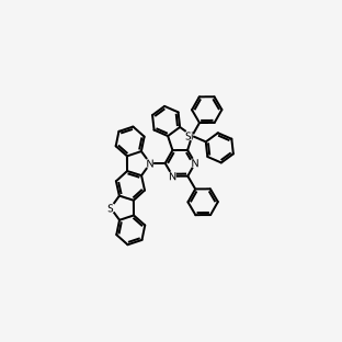 c1ccc(-c2nc(-n3c4ccccc4c4cc5sc6ccccc6c5cc43)c3c(n2)[Si](c2ccccc2)(c2ccccc2)c2ccccc2-3)cc1